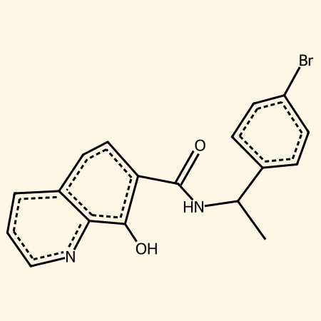 CC(NC(=O)c1ccc2cccnc2c1O)c1ccc(Br)cc1